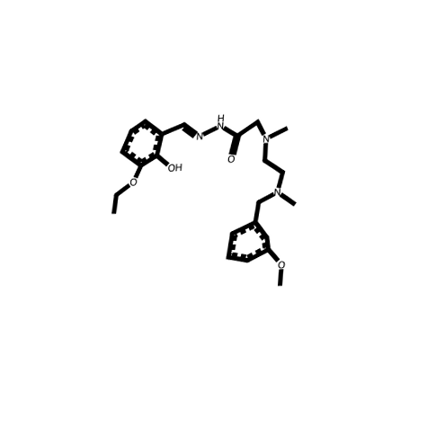 CCOc1cccc(/C=N/NC(=O)CN(C)CCN(C)Cc2cccc(OC)c2)c1O